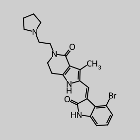 Cc1c(/C=C2\C(=O)Nc3cccc(Br)c32)[nH]c2c1C(=O)N(CCN1CCCC1)CC2